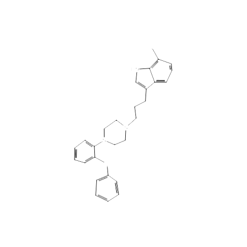 Clc1cccc2c(CCCN3CCN(c4ccccc4Oc4ccccc4)CC3)c[nH]c12